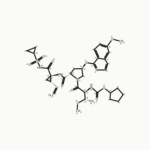 C=C[C@@H]1C[C@]1(NC(=O)[C@@H]1C[C@@H](Oc2nccc3cc(OC)ccc23)CN1C(=O)[C@@H](NC(=O)OC1CCCC1)[C@H](C)OC)C(=O)NS(=O)(=O)C1CC1